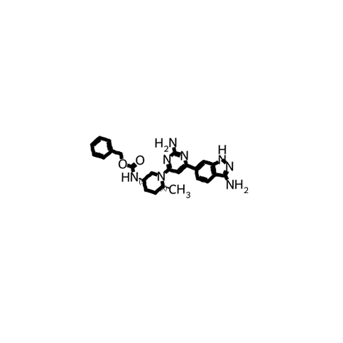 C[C@@H]1CC[C@H](NC(=O)OCc2ccccc2)CN1c1cc(-c2ccc3c(N)n[nH]c3c2)nc(N)n1